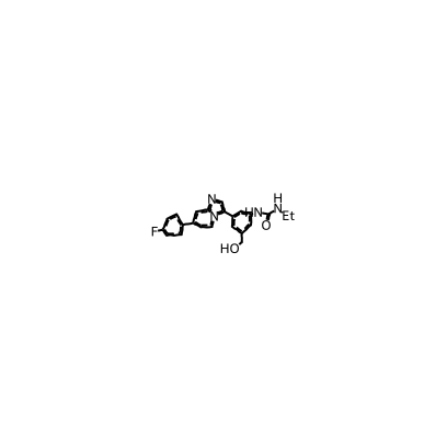 CCNC(=O)Nc1cc(CO)cc(-c2cnc3cc(-c4ccc(F)cc4)ccn23)c1